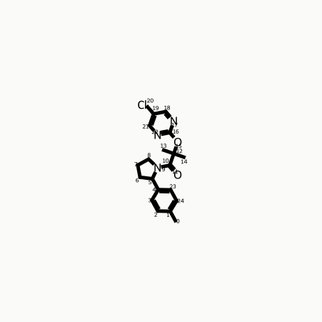 Cc1ccc(C2CCCN2C(=O)C(C)(C)Oc2ncc(Cl)cn2)cc1